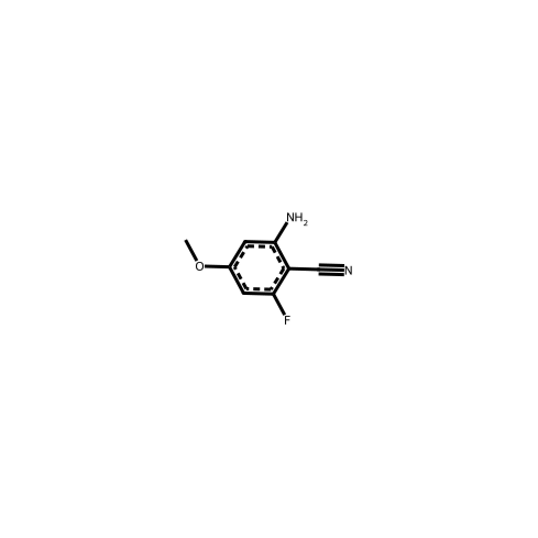 COc1cc(N)c(C#N)c(F)c1